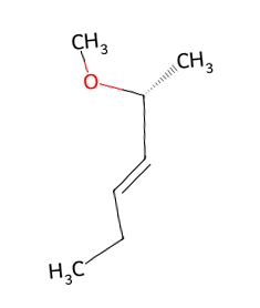 CC/C=C/[C@@H](C)OC